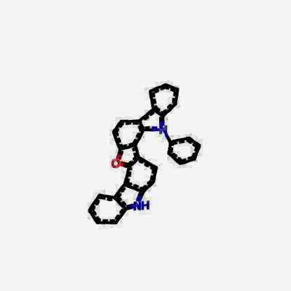 c1ccc(-n2c3ccccc3c3ccc4oc5c(ccc6[nH]c7ccccc7c65)c4c32)cc1